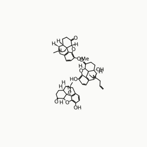 C=CCN1CC[C@]23c4c5ccc(O)c4O[C@H]2C(=O)CC[C@@]3(O)[C@H]1C5.CN1CC[C@]23c4c5ccc(O)c4O[C@H]2C(=O)CC[C@H]3[C@H]1C5.COc1ccc2c3c1O[C@H]1C(=O)CC[C@H]4[C@@H](C2)N(C)CC[C@]314